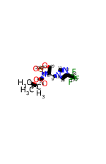 CC(C)(C)OC(=O)N1[C@@H](Cn2cnc(C(F)(F)F)c2)COS1=O